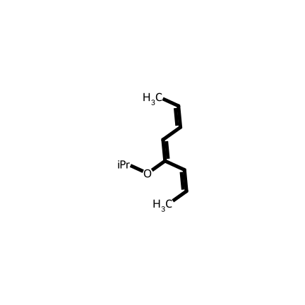 C\C=C/C=C(\C=C/C)OC(C)C